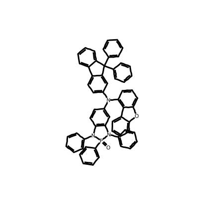 O=P1(c2ccccc2)N(c2ccccc2)c2ccc(N(c3ccc4c(c3)C(c3ccccc3)(c3ccccc3)c3ccccc3-4)c3cccc4oc5ccccc5c34)cc2N1c1ccccc1